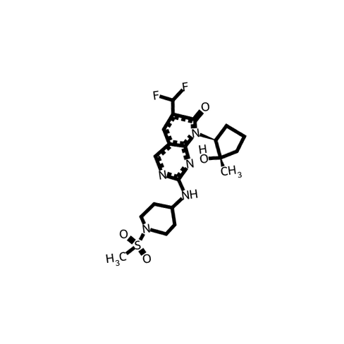 C[C@]1(O)CCC[C@@H]1n1c(=O)c(C(F)F)cc2cnc(NC3CCN(S(C)(=O)=O)CC3)nc21